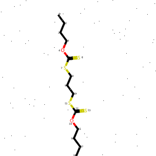 CCCCOC(=S)SCCCSC(=S)OCCCC